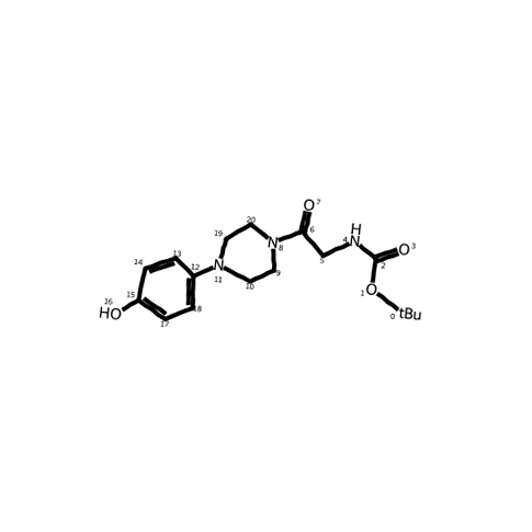 CC(C)(C)OC(=O)NCC(=O)N1CCN(c2ccc(O)cc2)CC1